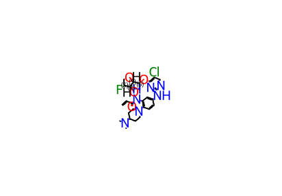 C=CC(=O)Nc1cc(Nc2ncc(Cl)c(O[C@H]3CO[C@@H]4[C@H]3OC[C@@H]4F)n2)ccc1N1CCC(N(C)C)CC1